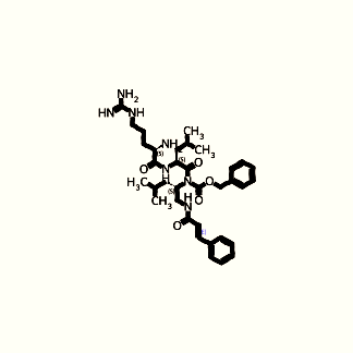 CC(C)C[C@@H](CNC(=O)/C=C/c1ccccc1)N(C(=O)OCc1ccccc1)C(=O)[C@H](CC(C)C)NC(=O)[C@@H](N)CCCNC(=N)N